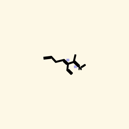 C=CC/C=C(C=C)/C(C)=N/C